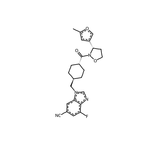 Cc1cc([C@@H]2CCON2C(=O)[C@H]2CC[C@H](Cn3cnc4c(F)cc(C#N)cc43)CC2)co1